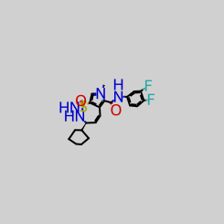 Cn1cc2c(c1C(=O)Nc1ccc(F)c(F)c1)C=C[C@@H](C1CCCCC1)NS2(=N)=O